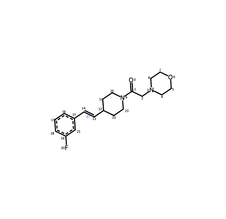 O=C(CN1CCOCC1)N1CCC(/C=C/c2cccc(F)c2)CC1